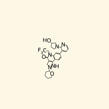 O=c1c2c(c3ccc(-c4cccnc4N4CCC(O)C4)cc3n1CC(F)(F)F)NN(C1CCCCO1)C2